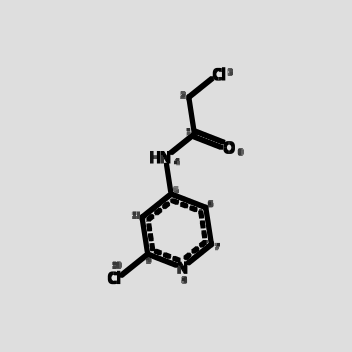 O=C(CCl)Nc1ccnc(Cl)c1